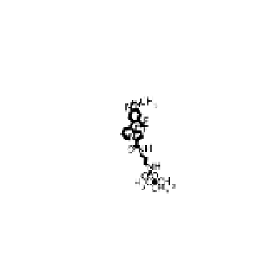 Cn1cnc2cc(-c3cccn4c(C(=O)NCCCNC(=O)OC(C)(C)C)ccc34)c(C(F)(F)F)cc21